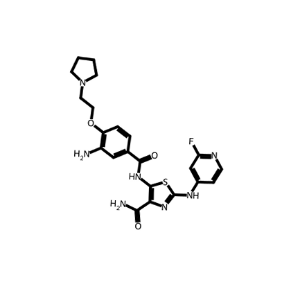 NC(=O)c1nc(Nc2ccnc(F)c2)sc1NC(=O)c1ccc(OCCN2CCCC2)c(N)c1